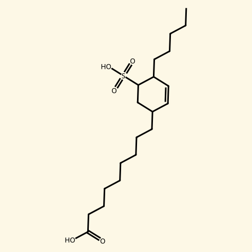 CCCCCC1C=CC(CCCCCCCCC(=O)O)CC1S(=O)(=O)O